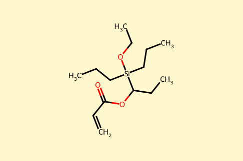 C=CC(=O)OC(CC)[Si](CCC)(CCC)OCC